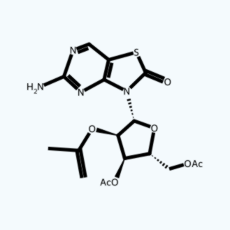 C=C(C)O[C@@H]1[C@H](OC(C)=O)[C@@H](COC(C)=O)O[C@H]1n1c(=O)sc2cnc(N)nc21